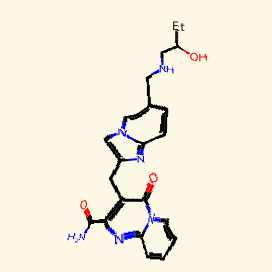 CCC(O)CNCc1ccc2nc(Cc3c(C(N)=O)nc4ccccn4c3=O)cn2c1